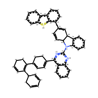 C1=CCC(C2=C(C3=CC=C(c4nc(N5c6ccccc6C6C=C(c7cccc8c7sc7ccccc78)C=CC65)nc5ccccc45)CC3)CCC=C2)C=C1